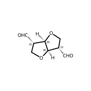 O=C[C@H]1CO[C@H]2[C@@H]1OC[C@@H]2C=O